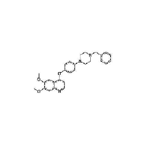 COc1cc2nccc(Oc3ccc(N4CCN(Cc5ccccc5)CC4)cc3)c2cc1OC